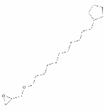 C(CCCCCOCC1CO1)CCCCCC1CCCC1